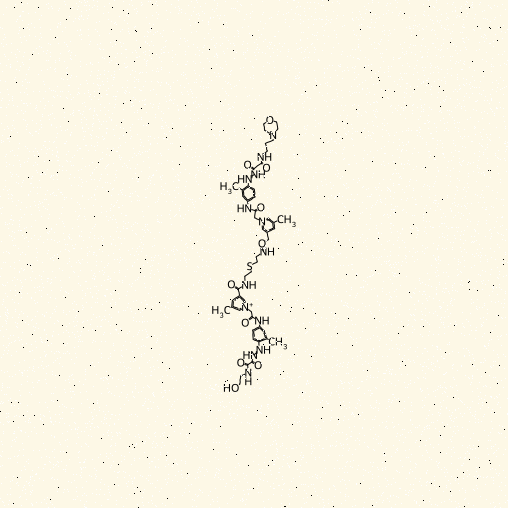 Cc1cc(CONCCSCCNC(=O)c2cc(C)c[n+](CC(=O)Nc3ccc(NNC(=O)C(=O)NCCO)c(C)c3)c2)c[n+](CC(=O)Nc2ccc(NNC(=O)C(=O)NCCCN3CCOCC3)c(C)c2)c1